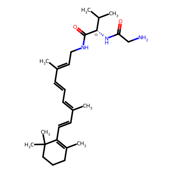 CC(C=CC1=C(C)CCCC1(C)C)=CC=CC(C)=CCNC(=O)[C@@H](NC(=O)CN)C(C)C